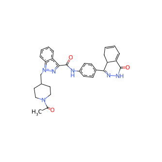 CC(=O)N1CCC(Cn2nc(C(=O)Nc3ccc(C4=NNC(=O)C5=CC=CCC54)cc3)c3ccccc32)CC1